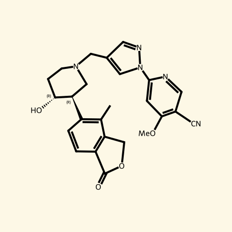 COc1cc(-n2cc(CN3CC[C@@H](O)[C@H](c4ccc5c(c4C)COC5=O)C3)cn2)ncc1C#N